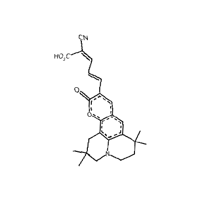 CC1(C)Cc2c3c(cc4cc(/C=C/C=C(/C#N)C(=O)O)c(=O)oc24)C(C)(C)CCN3C1